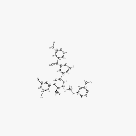 COc1cccc(CNC[C@@H](OC(=O)c2cc(C)cc(C(=O)c3cccc(OC)c3)c2)[C@@H](N)Cc2cc(F)cc(F)c2)c1